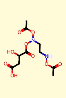 CC(=O)ONCCN(OC(C)=O)OC(=O)C(O)CC(=O)O